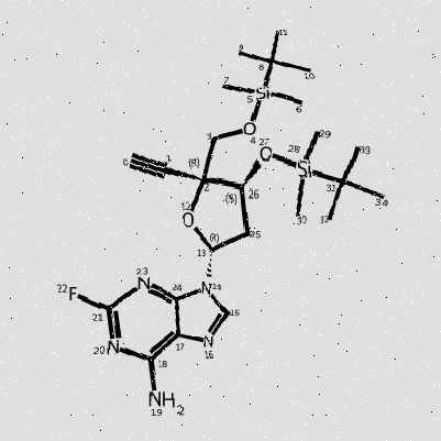 C#C[C@]1(CO[Si](C)(C)C(C)(C)C)O[C@@H](n2cnc3c(N)nc(F)nc32)C[C@@H]1O[Si](C)(C)C(C)(C)C